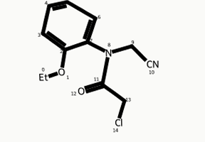 CCOc1ccccc1N(CC#N)C(=O)CCl